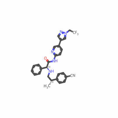 C[C@H](CN[C@H](C(=O)Nc1ccc(-c2cnn(CC(F)(F)F)c2)cn1)c1ccccc1)c1ccc(C#N)cc1